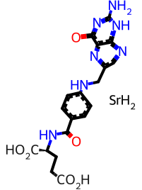 Nc1nc(=O)c2nc(CNc3ccc(C(=O)N[C@@H](CCC(=O)O)C(=O)O)cc3)cnc2[nH]1.[SrH2]